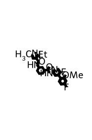 CCn1nc(C)cc1C(=O)NC1CCCC(C(=O)Nc2cc(-c3ccc(F)cc3OC)c(F)cn2)C1